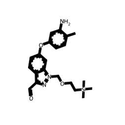 Cc1ccc(Oc2ccc3c(C=O)nn(COCC[Si](C)(C)C)c3c2)cc1N